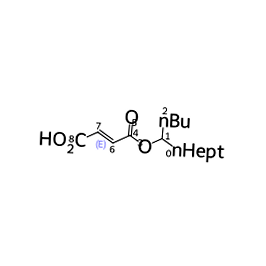 CCCCCCCC(CCCC)OC(=O)/C=C/C(=O)O